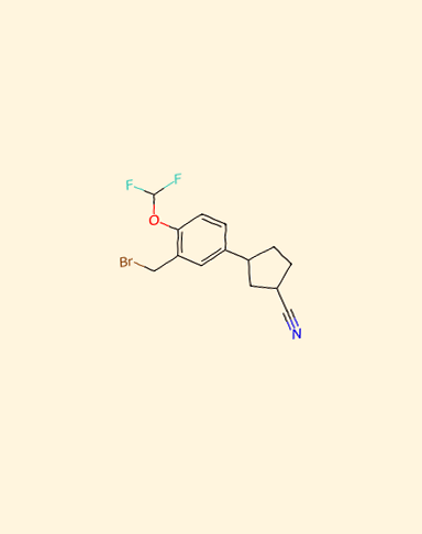 N#CC1CCC(c2ccc(OC(F)F)c(CBr)c2)C1